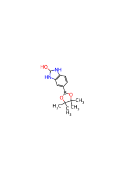 CC1(C)OB(c2ccc3c(c2)NC(O)N3)OC1(C)C